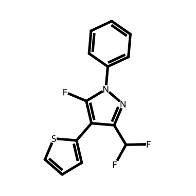 Fc1c(-c2cccs2)c(C(F)F)nn1-c1ccccc1